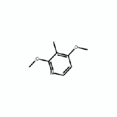 [CH2]c1c(OC)ccnc1OC